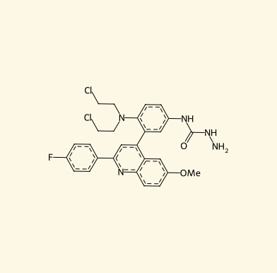 COc1ccc2nc(-c3ccc(F)cc3)cc(-c3cc(NC(=O)NN)ccc3N(CCCl)CCCl)c2c1